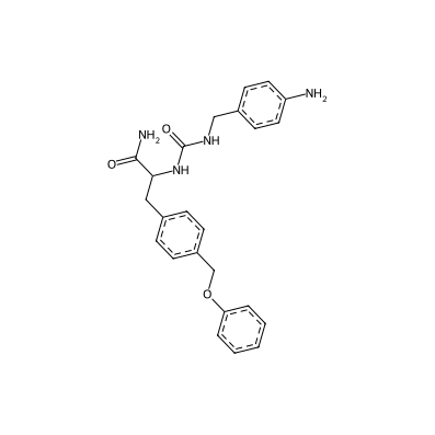 NC(=O)C(Cc1ccc(COc2ccccc2)cc1)NC(=O)NCc1ccc(N)cc1